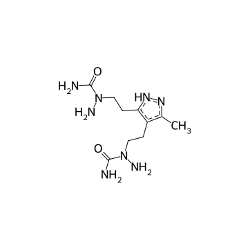 Cc1n[nH]c(CCN(N)C(N)=O)c1CCN(N)C(N)=O